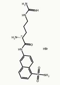 Br.N=C(N)NCCC[C@@H](N)C(=O)Nc1ccc2c(S(N)(=O)=O)cccc2c1